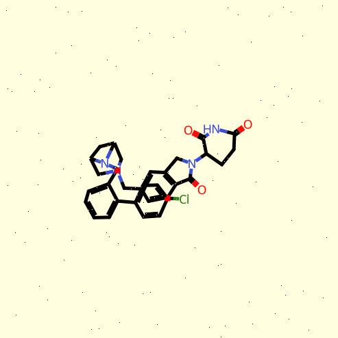 O=C1CCC(N2Cc3cc(CN4CC5CC(C4)N5Cc4ccccc4-c4ccc(Cl)cc4)ccc3C2=O)C(=O)N1